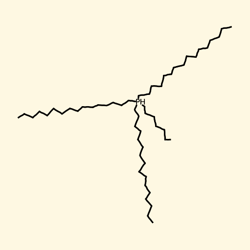 CCCCCCCCCCCCCCCC[PH](CCCCCCC)(CCCCCCCCCCCCCCCC)CCCCCCCCCCCCCCCC